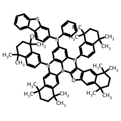 CC1(C)CCC(C)(C)c2cc(N3c4cc5c(cc4B4c6oc7cc8c(cc7c6N(c6ccc7c(c6)C(C)(C)CCC7(C)C)c6cc(N(c7ccccc7)c7ccc9c(c7)sc7ccccc79)cc3c64)C(C)(C)CCC8(C)C)C(C)(C)CCC5(C)C)ccc21